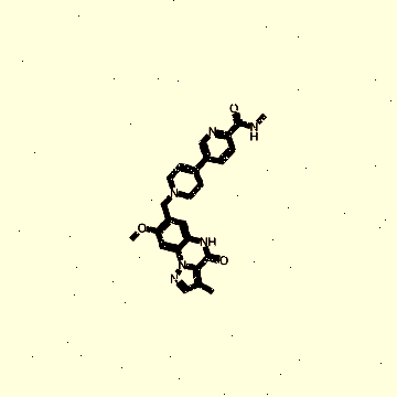 CNC(=O)c1ccc(C2=CCN(Cc3cc4[nH]c(=O)c5c(C)cnn5c4cc3OC)CC2)cn1